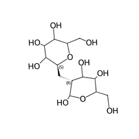 OCC1O[C@@H](C[C@H]2C(O)OC(CO)C(O)C2O)C(O)C(O)C1O